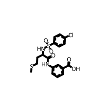 CSCCC(NS(=O)(=O)c1ccc(Cl)cc1)C(=O)Nc1cccc(C(=O)O)c1